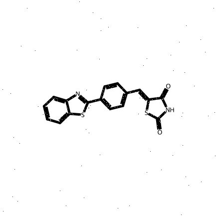 O=C1NC(=O)C(=Cc2ccc(-c3nc4ccccc4s3)cc2)S1